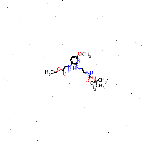 CCOC(=O)CNc1ccc(OC)nc1NCCNC(=O)OC(C)(C)C